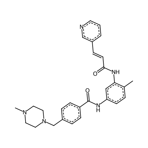 Cc1ccc(NC(=O)c2ccc(CN3CCN(C)CC3)cc2)cc1NC(=O)C=Cc1cccnc1